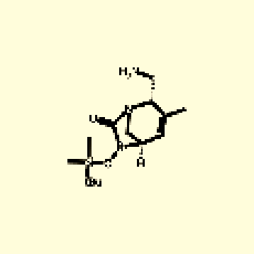 CC1=C[C@@H]2CN(C(=O)N2O[Si](C)(C)C(C)(C)C)[C@@H]1CN